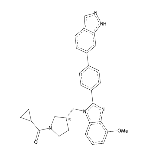 COc1cccc2c1nc(-c1ccc(-c3ccc4cn[nH]c4c3)cc1)n2C[C@@H]1CCN(C(=O)C2CC2)C1